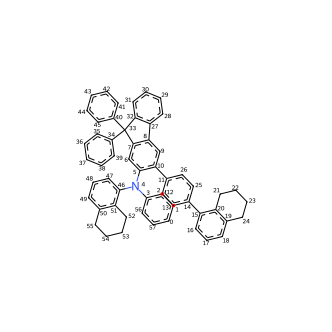 c1ccc(N(c2cc3c(cc2-c2ccc(-c4cccc5c4CCCC5)cc2)-c2ccccc2C3(c2ccccc2)c2ccccc2)c2cccc3c2CCCC3)cc1